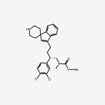 CN(C[C@@H](CCC1=CC2(CCNCC2)c2ccccc21)c1ccc(Cl)c(Cl)c1)C(=O)OC(C)(C)C